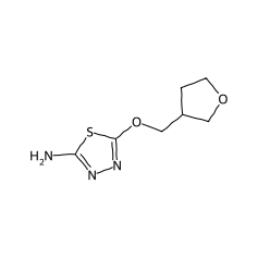 Nc1nnc(OCC2CCOC2)s1